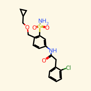 NS(=O)(=O)c1cc(NC(=O)Cc2ccccc2Cl)ccc1COCC1CC1